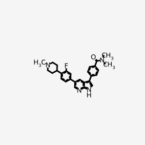 CN1CCC(c2ccc(-c3cnc4[nH]cc(-c5ccc(C(=O)N(C)C)cc5)c4c3)cc2F)CC1